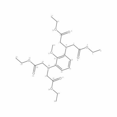 CCOC(=O)CN(CC(=O)OCC)c1cccc(N(CC(=O)OCC)CC(=O)OCC)c1OC